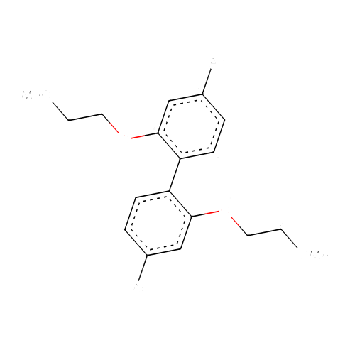 COCCOc1cc(C(C)=O)ccc1-c1ccc(C(C)=O)cc1OCCOC